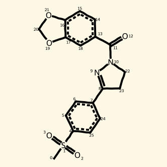 CS(=O)(=O)c1ccc(C2=NN(C(=O)c3ccc4c(c3)OCO4)CC2)cc1